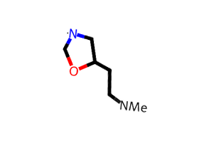 CNCCC1C[N]CO1